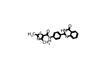 Cc1nc(C)c(C(=O)Nc2ccc(-c3nc4ccccc4c(=O)[nH]3)cc2)s1